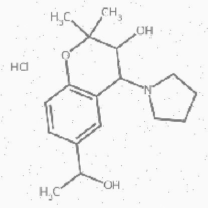 CC(O)c1ccc2c(c1)C(N1CCCC1)C(O)C(C)(C)O2.Cl